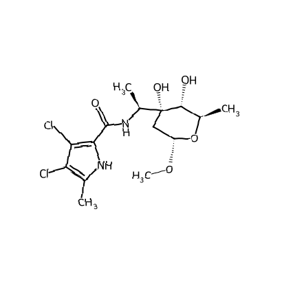 CO[C@@H]1C[C@@](O)([C@H](C)NC(=O)c2[nH]c(C)c(Cl)c2Cl)[C@H](O)[C@@H](C)O1